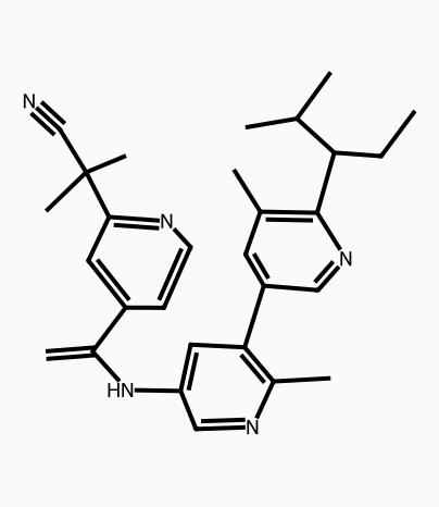 C=C(Nc1cnc(C)c(-c2cnc(C(CC)C(C)C)c(C)c2)c1)c1ccnc(C(C)(C)C#N)c1